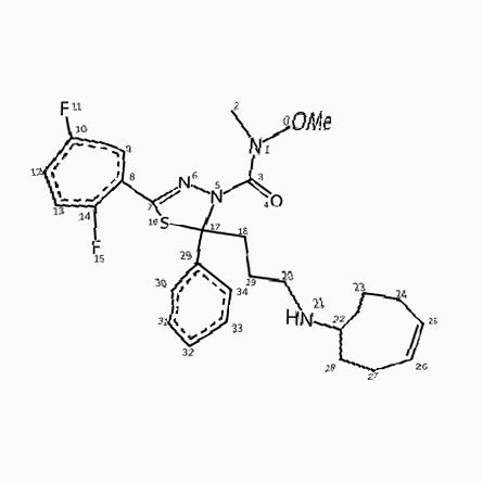 CON(C)C(=O)N1N=C(c2cc(F)ccc2F)SC1(CCCNC1CCC=CCC1)c1ccccc1